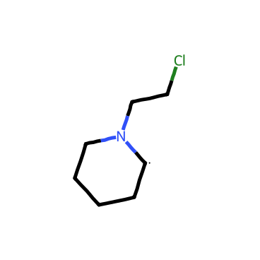 ClCCN1[CH]CCCC1